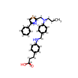 CCCN(Cc1nc(-c2ccccc2)cs1)c1ccc(CNc2ccc(CCC(=O)O)cc2)cc1